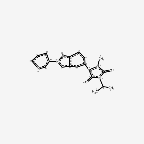 CC(C)n1c(=O)n(C)n(-c2ccc3nn(-c4cccnc4)cc3c2)c1=O